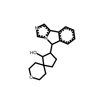 OC1C(C2c3ccccc3-c3cncn32)CCC12CCOCC2